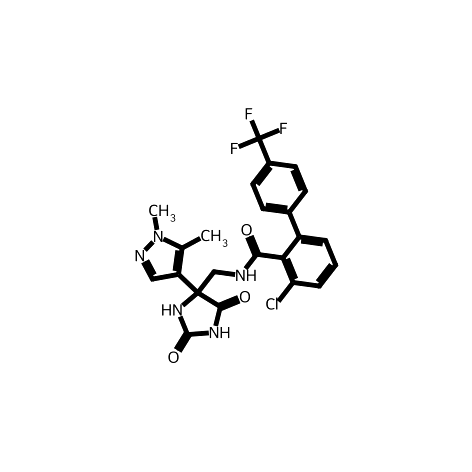 Cc1c(C2(CNC(=O)c3c(Cl)cccc3-c3ccc(C(F)(F)F)cc3)NC(=O)NC2=O)cnn1C